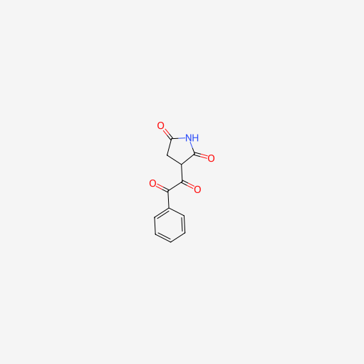 O=C1CC(C(=O)C(=O)c2ccccc2)C(=O)N1